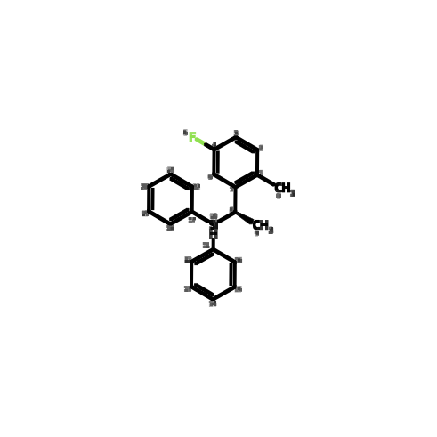 Cc1ccc(F)cc1[C@@H](C)[SiH](c1ccccc1)c1ccccc1